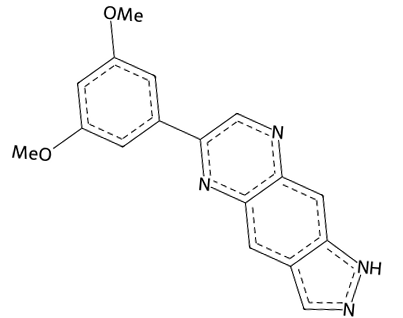 COc1cc(OC)cc(-c2cnc3cc4[nH]ncc4cc3n2)c1